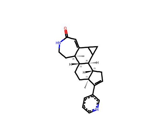 C[C@]12CCNC(=O)C=C1C1CC1[C@@H]1[C@@H]2CC[C@]2(C)C(c3cccnc3)=CC[C@@H]12